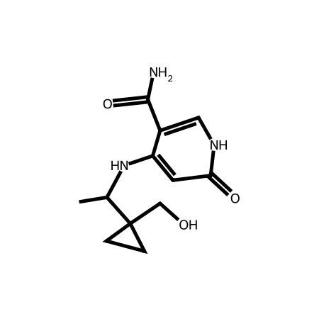 CC(Nc1cc(=O)[nH]cc1C(N)=O)C1(CO)CC1